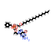 CCCCCCCCCCCCCCCCCCOCCOP(=O)(COC(C)CN1C=NC2C(=O)N=C(N)N=C21)OCc1ccccc1